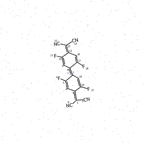 N#CC(C#N)=c1cc(F)/c(=c2\cc(F)c(=C(C#N)C#N)cc2F)cc1F